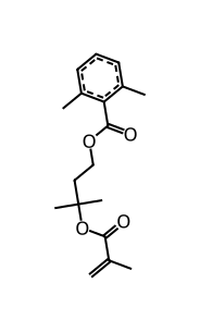 C=C(C)C(=O)OC(C)(C)CCOC(=O)c1c(C)cccc1C